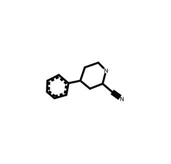 N#CC1CC(c2ccccc2)CC[N]1